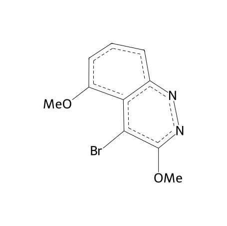 COc1nnc2cccc(OC)c2c1Br